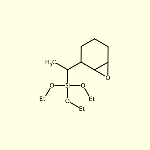 CCO[Si](OCC)(OCC)C(C)C1CCCC2OC21